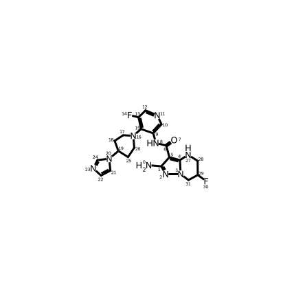 Nc1nn2c(c1C(=O)Nc1cncc(F)c1N1CCC(n3ccnc3)CC1)NCC(F)C2